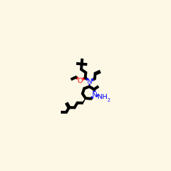 C=CCN(C(CCC(C)(C)C)OCC)[C@@H]1CC[C@H](CCCC(=C)CC)CN(N)C1C